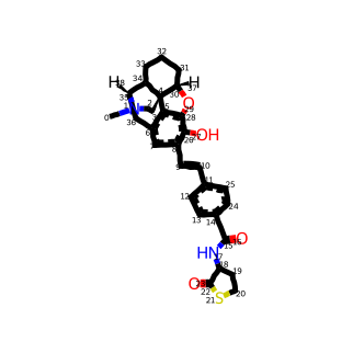 CN1CC[C@]23c4c5cc(/C=C/c6ccc(C(=O)NC7CCSC7=O)cc6)c(O)c4O[C@H]2CCCC3[C@H]1C5